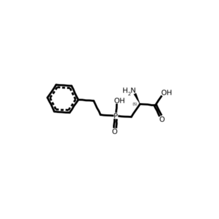 N[C@H](CP(=O)(O)CCc1ccccc1)C(=O)O